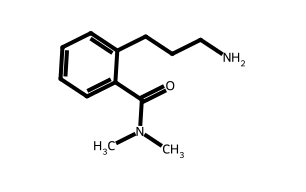 CN(C)C(=O)c1ccccc1CCCN